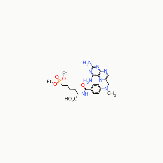 CCOP(=O)(CCCC[C@H](NC(=O)c1ccc(N(C)Cc2cnc3nc(N)nc(N)c3n2)cc1)C(=O)O)OCC